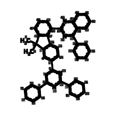 CC1(C)c2cc(-c3cc(-c4ccccc4)nc(-c4ccccc4)n3)ccc2-c2c(-c3nc(-c4ccccc4)c4ccccc4n3)cccc21